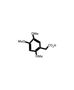 COc1cc(OC)c(OC)cc1CC(=O)O